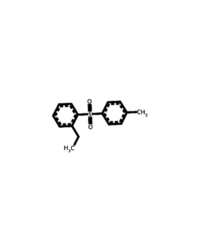 CCc1ccccc1S(=O)(=O)c1ccc(C)cc1